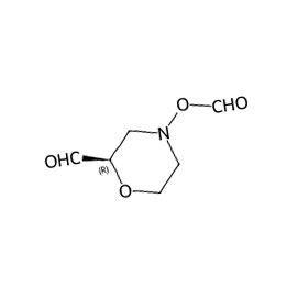 O=CON1CCO[C@@H](C=O)C1